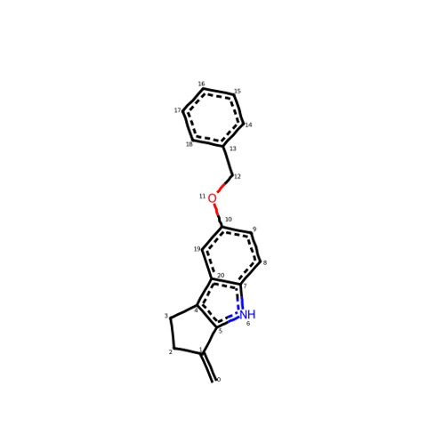 C=C1CCc2c1[nH]c1ccc(OCc3ccccc3)cc21